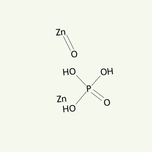 O=P(O)(O)O.[O]=[Zn].[Zn]